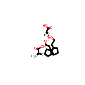 C=C(C)C(=O)O.C=CC(=O)O.OCCC12CCC(C1)C1CCCC12CCO